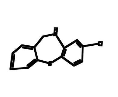 Clc1ccc2c(c1)NCc1ccccc1S2